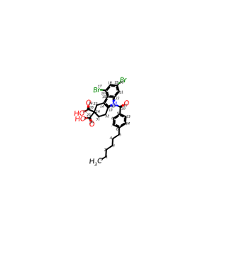 CCCCCCc1ccc(C(=O)n2c3c(c4c(Br)cc(Br)cc42)CC(C(=O)O)(C(=O)O)CC3)cc1